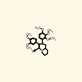 COc1ccc(C2=C(C#N)N3CCCCC3CC2c2ccc(OC)c(OC)c2OC)cc1OC